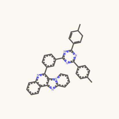 Cc1ccc(-c2nc(C3=CCC(C)C=C3)nc(-c3cccc(-c4nc5ccccc5c5nc6ccccn6c45)c3)n2)cc1